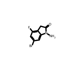 NN1C(=O)Cc2c(F)cc(Br)cc21